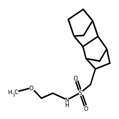 COCCNS(=O)(=O)CC1CC2CC1C1C3CCC(C3)C21